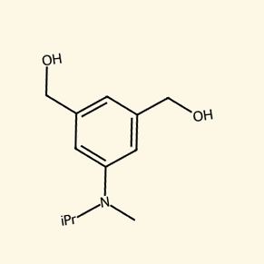 CC(C)N(C)c1cc(CO)cc(CO)c1